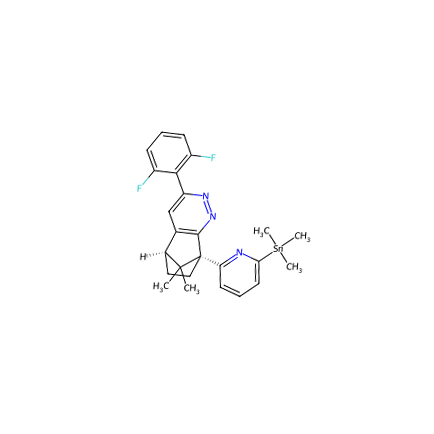 CC1(C)[C@H]2CC[C@]1(c1ccc[c]([Sn]([CH3])([CH3])[CH3])n1)c1nnc(-c3c(F)cccc3F)cc12